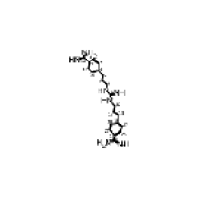 N=C(NCCCc1ccc(C(=N)N)cc1)NCCCc1ccc(C(=N)N)cc1